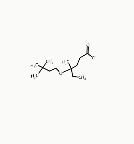 CCC(C)(CCC(=O)Cl)OCCC(C)(C)C